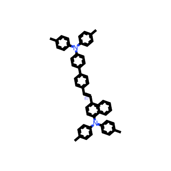 Cc1ccc(N(c2ccc(C)cc2)c2ccc(-c3ccc(/C=C/c4ccc(N(c5ccc(C)cc5)c5ccc(C)cc5)c5ccccc45)cc3)cc2)cc1